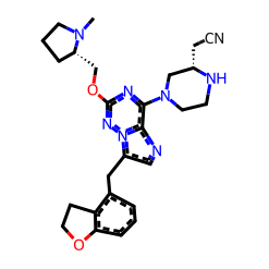 CN1CCC[C@H]1COc1nc(N2CCN[C@@H](CC#N)C2)c2ncc(Cc3cccc4c3CCO4)n2n1